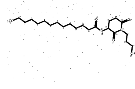 CCCCCCCCCCCCCC(=O)NC1CCC(=O)N(CCCC)C1=O